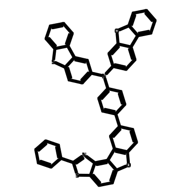 c1ccc(-c2nc3c(ccc4oc5ccc(-c6ccc(N(c7ccc8c(c7)oc7ccccc78)c7ccc8sc9ccccc9c8c7)cc6)cc5c43)s2)cc1